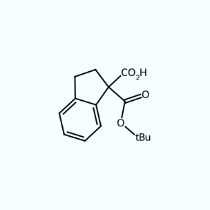 CC(C)(C)OC(=O)C1(C(=O)O)CCc2ccccc21